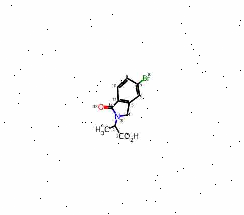 CC(C(=O)O)N1Cc2cc(Br)ccc2C1=O